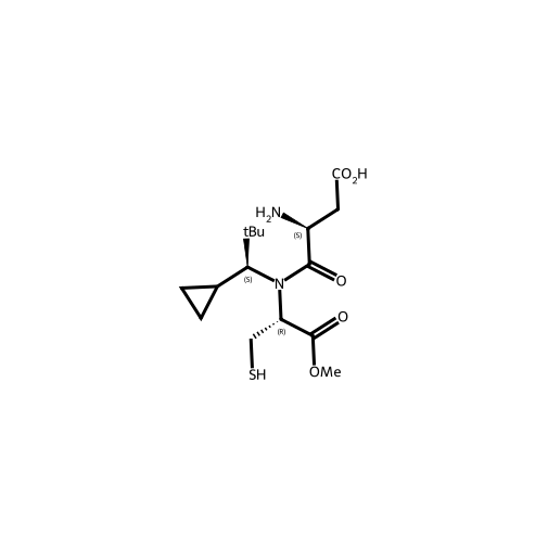 COC(=O)[C@H](CS)N(C(=O)[C@@H](N)CC(=O)O)[C@@H](C1CC1)C(C)(C)C